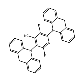 N#Cc1c(F)c(N2c3ccccc3Cc3ccccc32)nc(F)c1N1c2ccccc2Cc2ccccc21